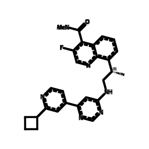 CNC(=O)c1c(F)cnc2c([C@H](C)CNc3cc(-c4ccnc(C5CCC5)c4)ncn3)cccc12